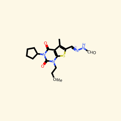 COCCn1c(=O)n(C2CCCC2)c(=O)c2c(C)c(/C=N/NC=O)sc21